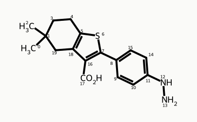 CC1(C)CCc2sc(-c3ccc(NN)cc3)c(C(=O)O)c2C1